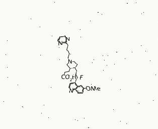 COc1ccc2nccc([C@@H](F)CCC3CCN(CCCCc4ncccn4)CC3CCC(=O)O)c2c1